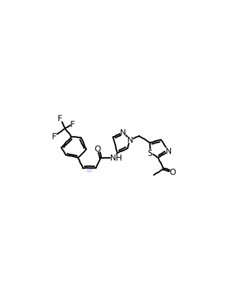 CC(=O)c1ncc(Cn2cc(NC(=O)/C=C\c3ccc(C(F)(F)F)cc3)cn2)s1